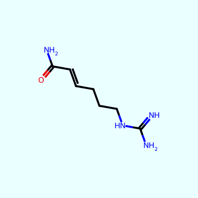 N=C(N)NCCCC=CC(N)=O